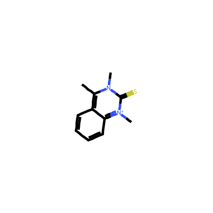 Cc1c2ccccc2[n+](C)c(=S)n1C